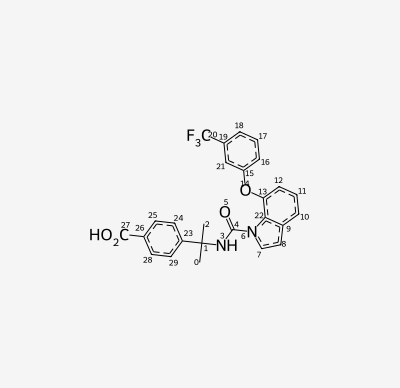 CC(C)(NC(=O)n1ccc2cccc(Oc3cccc(C(F)(F)F)c3)c21)c1ccc(C(=O)O)cc1